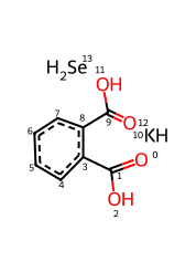 O=C(O)c1ccccc1C(=O)O.[KH].[SeH2]